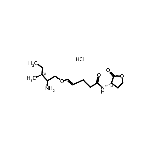 CC[C@H](C)C(N)COC=CCCC(=O)N[C@H]1CCOC1=O.Cl